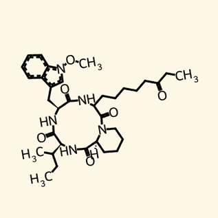 CCC(=O)CCCCCC1NC(=O)[C@H](Cc2cn(OC)c3ccccc23)NC(=O)[C@H](C(C)CC)NC(=O)[C@@H]2CCCCN2C1=O